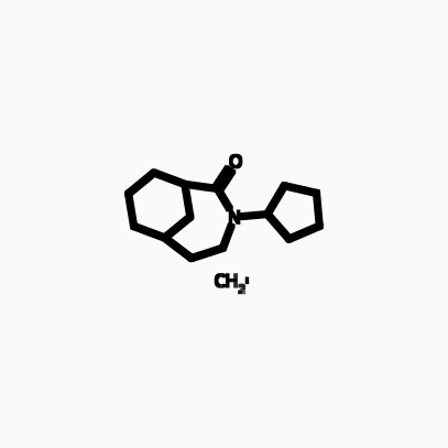 O=C1C2CCCC(CCN1C1CCCC1)C2.[CH2]